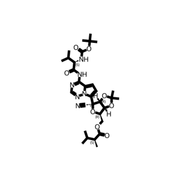 CC(C)[C@H](C)C(=O)OC[C@H]1O[C@@](C#N)(c2ccc3c(NC(=O)[C@@H](NC(=O)OC(C)(C)C)C(C)C)ncnn23)[C@@H]2OC(C)(C)O[C@@H]21